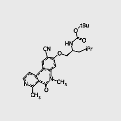 Cc1nccc2c1c(=O)n(C)c1cc(OC[C@H](CC(C)C)NC(=O)OC(C)(C)C)c(C#N)cc21